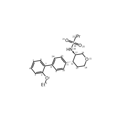 CCOc1ccccc1-c1ccc([C@H]2CCOC[C@@H]2NS(=O)(=O)C(C)C)cc1